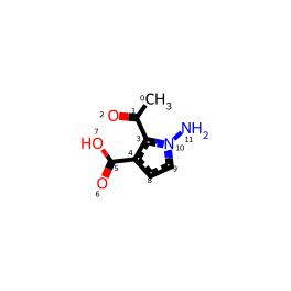 CC(=O)c1c(C(=O)O)ccn1N